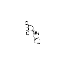 O=C1CC[C@H](NCc2ccccc2)C(=O)O1